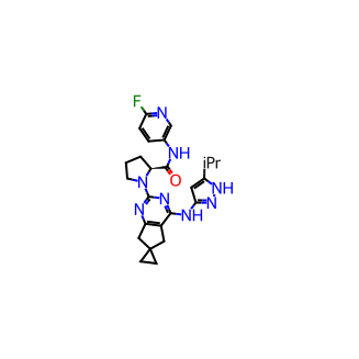 CC(C)c1cc(Nc2nc(N3CCC[C@H]3C(=O)Nc3ccc(F)nc3)nc3c2CC2(CC2)C3)n[nH]1